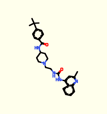 Cc1cc(NC(=O)NCCN2CCC(NC(=O)c3ccc(C(C)(C)C)cc3)CC2)c2ccccc2n1